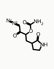 [N-]=[N+]=CC(=O)C(CC1CCNC1=O)OC(N)=O